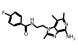 Cc1nc(N)c2nc(C)n(CCNC(=O)c3ccc(F)cc3)c2c1C